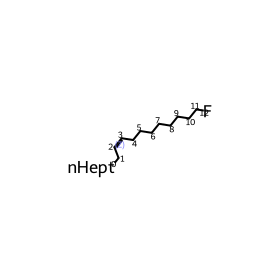 CCCCCCCC/C=C\CCCCCCCCF